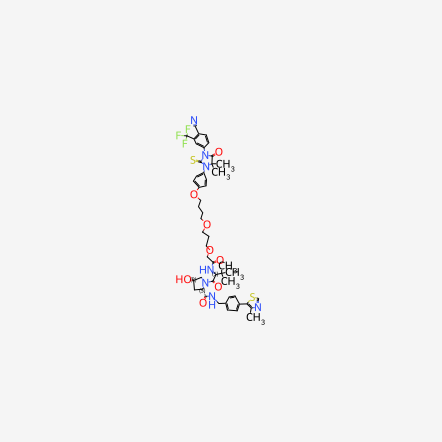 Cc1ncsc1-c1ccc(CNC(=O)[C@@H]2C[C@@H](O)CN2C(=O)[C@@H](NC(=O)COCCCOCCCCOc2ccc(N3C(=S)N(c4ccc(C#N)c(C(F)(F)F)c4)C(=O)C3(C)C)cc2)C(C)(C)C)cc1